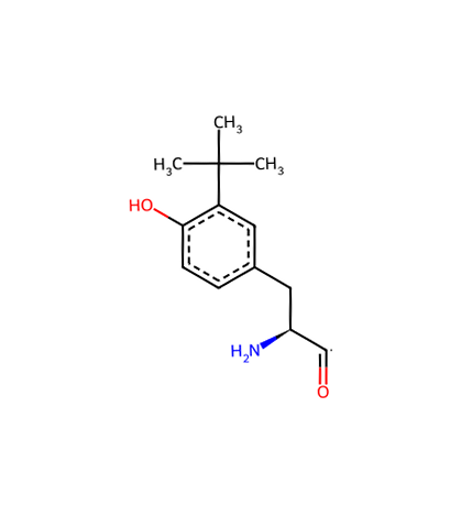 CC(C)(C)c1cc(C[C@H](N)[C]=O)ccc1O